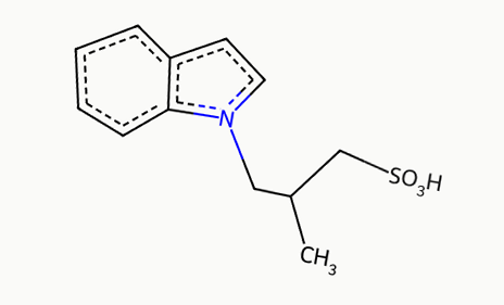 CC(Cn1ccc2ccccc21)CS(=O)(=O)O